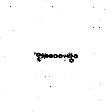 O=P(OCc1ccccc1)(OCc1ccccc1)OC(c1cn(-c2ccc(N3CCN(c4ccc(-c5ccc(C(F)(F)[C@]6(O)Cn7nnnc7-c7cc(F)ccc76)nc5)cc4)CC3)cc2)[nH]1)C(F)(F)F